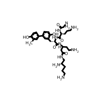 Cc1cc(-c2ccc(O)c(C[C@H](NC(=O)[C@H](CCCN)NC(=O)CN)C(=O)NC(CCN)CC(=O)NC[C@@H](N)CCCN)c2)ccc1O